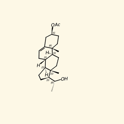 CC(=O)O[C@H]1CC[C@@]2(C)C(=CC[C@H]3[C@@H]4CC[C@H]([C@@H](C)O)[C@@]4(C)CC[C@@H]32)C1